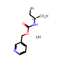 CC(C)C[C@H](NC(=O)OCc1cccnc1)C(=O)O.[LiH]